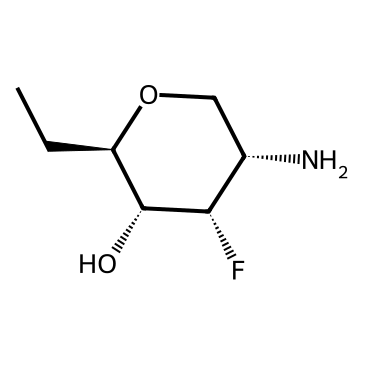 CC[C@H]1OC[C@H](N)[C@H](F)[C@@H]1O